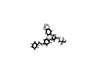 COc1ccc(-n2nc(OCC(F)(F)F)cc2-c2ccc(OCc3ccccc3)cc2)cn1